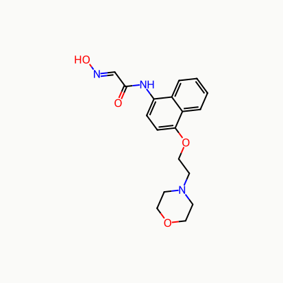 O=C(C=NO)Nc1ccc(OCCN2CCOCC2)c2ccccc12